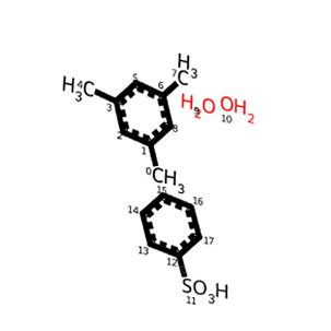 Cc1cc(C)cc(C)c1.O.O.O=S(=O)(O)c1ccccc1